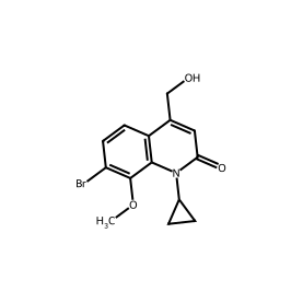 COc1c(Br)ccc2c(CO)cc(=O)n(C3CC3)c12